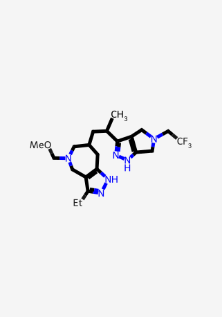 CCc1n[nH]c2c1CN(COC)CC(CC(C)c1n[nH]c3c1CN(CC(F)(F)F)C3)C2